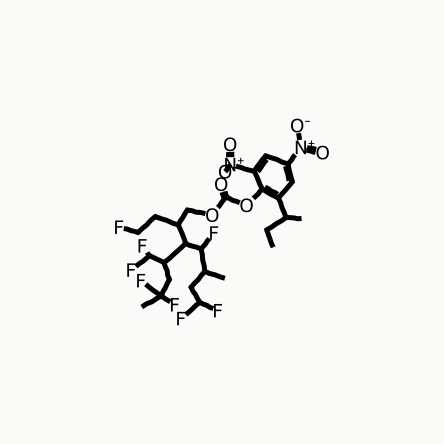 CCC(C)c1cc([N+](=O)[O-])cc([N+](=O)[O-])c1OC(=O)OCC(CCF)C(C(F)C(C)CC(F)F)C(CC(C)(F)F)C(F)F